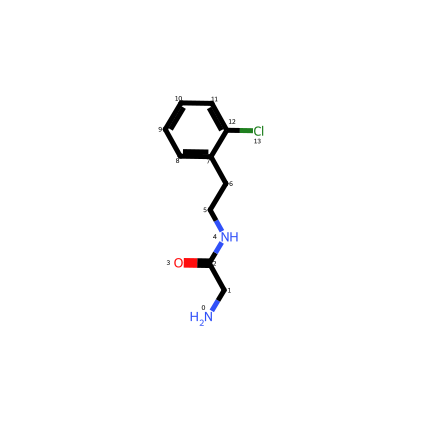 NCC(=O)NCCc1ccccc1Cl